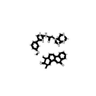 CC1C=c2c(ccc3c2=CC(=O)c2ccccc2-3)C(C)C1=O.COc1cccc(-c2csc(NC(=O)Cn3cnc4ncncc43)n2)c1